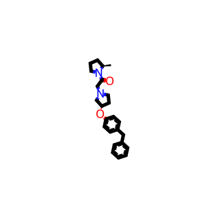 C[C@@H]1CCCN1C(=O)CN1CC[C@H](Oc2ccc(Cc3ccccc3)cc2)C1